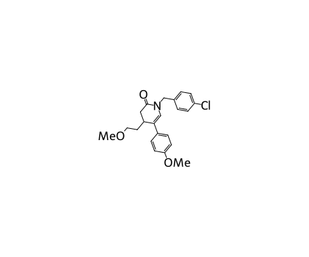 COCCC1CC(=O)N(Cc2ccc(Cl)cc2)C=C1c1ccc(OC)cc1